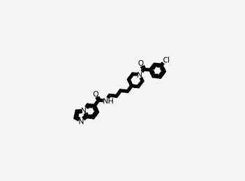 O=C(NCCCCC1CCN(C(=O)c2cccc(Cl)c2)CC1)c1ccc2nccn2c1